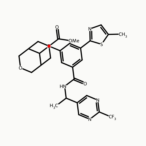 COC(=O)N1CC2COCC(C1)C2Oc1cc(C(=O)NC(C)c2cnc(C(F)(F)F)nc2)cc(-c2ncc(C)s2)c1